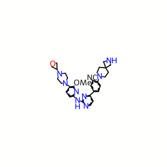 COc1nc(Nc2nccc(-c3ccc(N4CCC5(CC4)CNC5)c(C#N)c3)n2)ccc1N1CCN(C2COC2)CC1